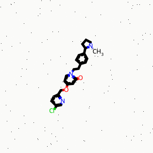 CN1CCCC1c1ccc(CCn2ccc(OCc3ccc(Cl)cn3)cc2=O)cc1